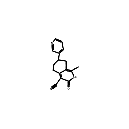 Cc1[nH]c(=O)c(C#N)c2c1CC(c1cccnc1)CC2